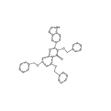 O=c1c(OCc2ccccc2)c(-c2ccc3[nH]ccc3c2)oc2cc(OCc3ccccc3)cc(OCc3ccccc3)c12